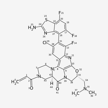 C=CC(=O)N1CCN2c3c4c(nc5c(F)c(-c6c(F)cc(F)c7sc(N)nc67)c(Cl)cc35)O[C@H](CN(C)C)CN4C(=O)[C@H]2C1